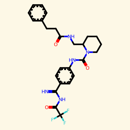 N=C(NC(=O)C(F)(F)F)c1ccc(NC(=O)N2CCCCC2CNC(=O)CCc2ccccc2)cc1